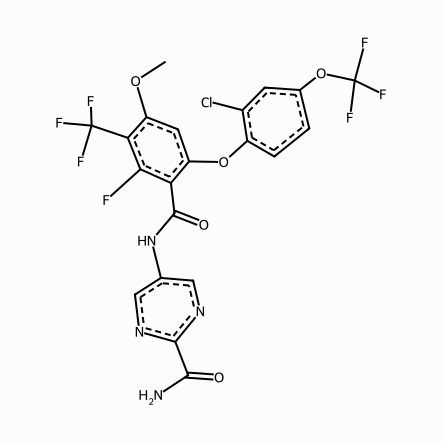 COc1cc(Oc2ccc(OC(F)(F)F)cc2Cl)c(C(=O)Nc2cnc(C(N)=O)nc2)c(F)c1C(F)(F)F